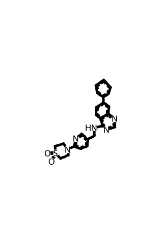 O=S1(=O)CCN(c2ccc(CNc3ncnc4cc(-c5ccccc5)ccc34)cn2)CC1